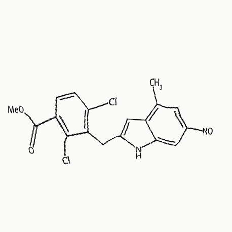 COC(=O)c1ccc(Cl)c(Cc2cc3c(C)cc(N=O)cc3[nH]2)c1Cl